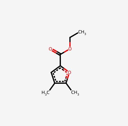 CCOC(=O)c1cc(C)c(C)o1